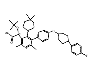 Cc1nc(C)c([C@H](OC(C)(C)C)C(=O)O)c(N2CCC(C)(C)CC2)c1-c1ccc(OC2CCC(c3ccc(F)cc3)CC2)cc1